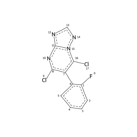 Fc1ccccc1-c1c(Cl)nc2ncnn2c1Cl